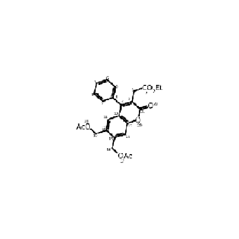 CCOC(=O)Cc1c(-c2ccccc2)c2cc(COC(C)=O)c(COC(C)=O)cc2oc1=O